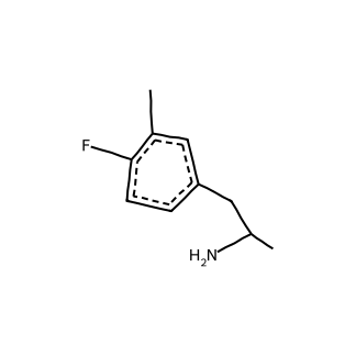 Cc1cc(CC(C)N)ccc1F